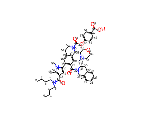 CCCCN(CCCC)C(=O)c1cc(-c2cc3c(cc2C(=O)N2Cc4ccccc4C[C@H]2CN2CCOCC2)CN(C(=O)Oc2ccc(C(=O)O)cc2)CC3)n(C)c1C